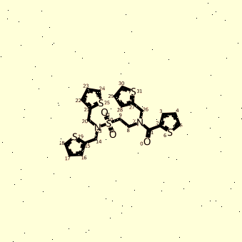 O=C(c1cccs1)N(CCS(=O)(=O)N(Cc1cccs1)Cc1cccs1)Cc1cccs1